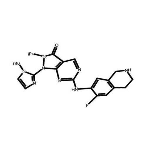 CC(C)n1c(=O)c2cnc(Nc3cc4c(cc3F)CCNC4)nc2n1-c1nccn1C(C)(C)C